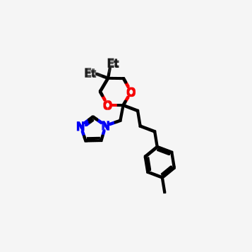 CCC1(CC)COC(CCCc2ccc(C)cc2)(Cn2ccnc2)OC1